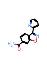 NC(=O)c1ccc2c(-c3ccccn3)noc2c1